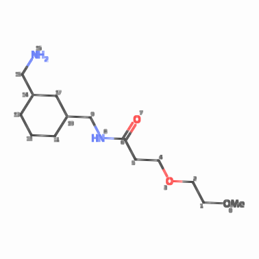 COCCOCCC(=O)NCC1CCCC(CN)C1